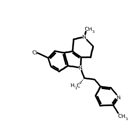 Cc1ccc(C[C@H](C)n2c3c(c4cc(Cl)ccc42)CN(C)CC3)cn1